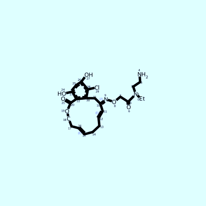 CCN(CCN)C(=O)CO/N=C1\C=C\CC/C=C/CCOC(=O)c2c(O)cc(O)c(Cl)c2C1